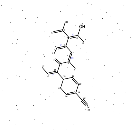 C=C(\C(C)=C/C(=C\C)C(/C(=C)C)=C(\C)O)/C(=C\C)C1C=CC(C#N)=CC1